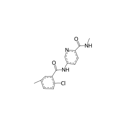 CNC(=O)c1ccc(NC(=O)c2cc(C)ccc2Cl)cn1